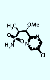 CO[C@H](c1ncc(Cl)cn1)[C@H](C)S(N)(=O)=O